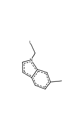 Cc1ccc2ccn(CI)c2c1